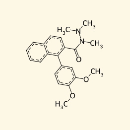 COc1ccc(-c2c(C(=O)N(C)N(C)C)ccc3ccccc23)cc1OC